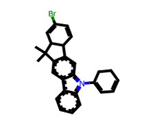 CC1(C)c2cc3c4ccccc4n(C4=CC=CCC4)c3cc2C2C=CC(Br)=CC21